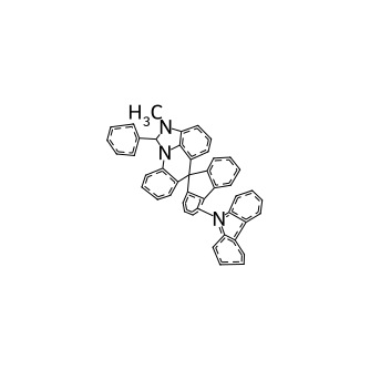 CN1c2cccc3c2N(c2ccccc2C32c3ccccc3-c3c(-n4c5ccccc5c5ccccc54)cccc32)C1c1ccccc1